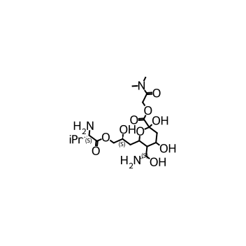 CC(C)[C@H](N)C(=O)OC[C@@H](O)CC1OC(O)(C(=O)OCC(=O)N(C)C)CC(O)C1[C@@H](N)O